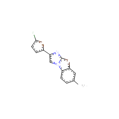 COc1ccc2c(c1)sc1nc(-c3ccc(F)s3)cn12